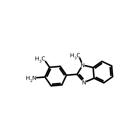 Cc1cc(-c2nc3ccccc3n2C)ccc1N